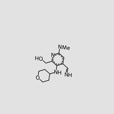 CNc1cc(C=N)c(NC2CCOCC2)c(CO)n1